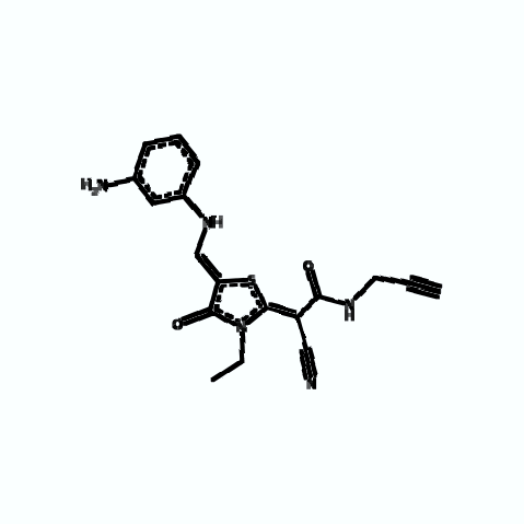 C#CCNC(=O)C(C#N)=c1sc(=CNc2cccc(N)c2)c(=O)n1CC